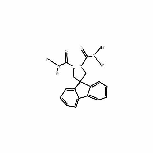 CC(C)N(C(=O)OCC1(COC(=O)N(C(C)C)C(C)C)c2ccccc2-c2ccccc21)C(C)C